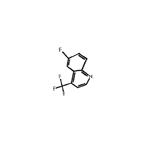 Fc1ccc2nccc(C(F)(F)F)c2c1